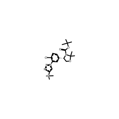 CC(C)(C)OC(=O)N1[C@@H](c2ccc(Cl)c(-n3cc([Si](C)(C)C)nn3)c2)COC1(C)C